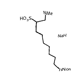 CCCCCCCCCCCCCCCCC(CNC)S(=O)(=O)O.[NaH]